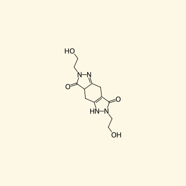 O=C1C2Cc3[nH]n(CCO)c(=O)c3CC2=NN1CCO